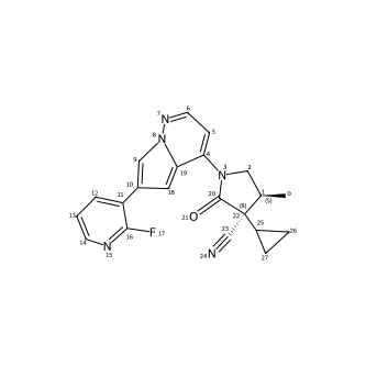 C[C@@H]1CN(c2ccnn3cc(-c4cccnc4F)cc23)C(=O)[C@]1(C#N)C1CC1